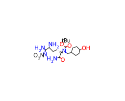 CC(C)(C)OC(=O)N(CC1CCC(O)CC1)[C@@H](CCC(N)C(N)=N[N+](=O)[O-])C(N)=O